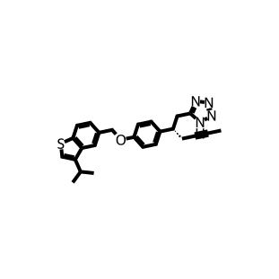 CC#CC[C@@H](Cc1nnn[nH]1)c1ccc(OCc2ccc3scc(C(C)C)c3c2)cc1